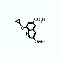 COc1cnc2c(OC3CC3)cc(C(=O)O)cc2c1